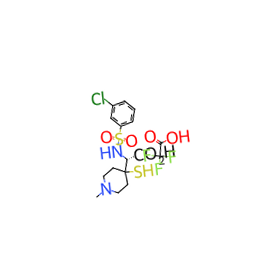 CN1CCC(S)([C@H](NS(=O)(=O)c2cccc(Cl)c2)C(=O)O)CC1.O=C(O)C(F)(F)F